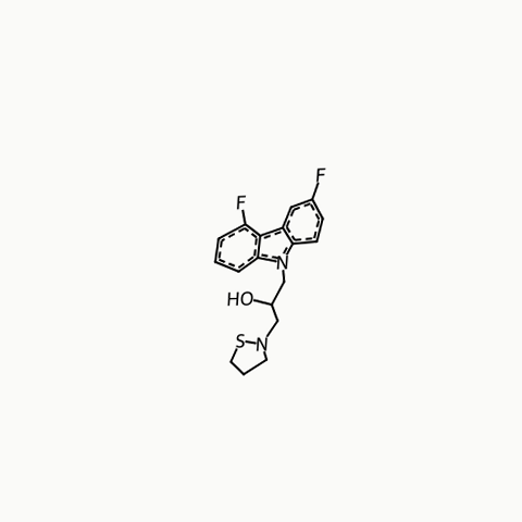 OC(CN1CCCS1)Cn1c2ccc(F)cc2c2c(F)cccc21